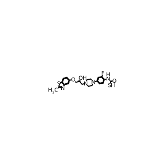 Cc1nc2cc(OC[C@H](O)CN3CCN(c4ccc(NC(=O)S)c(F)c4)CC3)ccc2s1